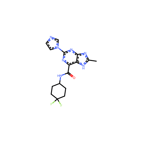 Cc1nc2nc(-n3ccnc3)nc(C(=O)NC3CCC(F)(F)CC3)c2[nH]1